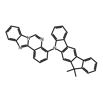 CC1(C)c2ccccc2-c2cc3c4ccccc4n(-c4cccc5c4ncn4c6ccccc6nc54)c3cc21